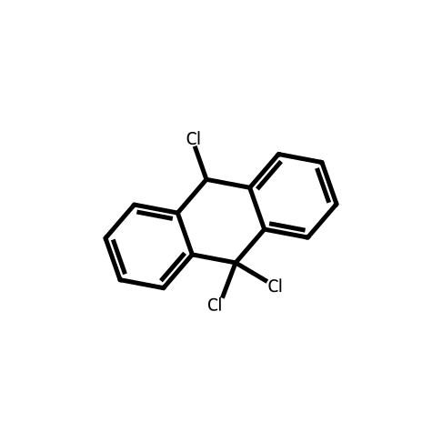 ClC1c2ccccc2C(Cl)(Cl)c2ccccc21